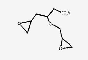 O=C(O)CC(CC1CO1)OCC1CO1